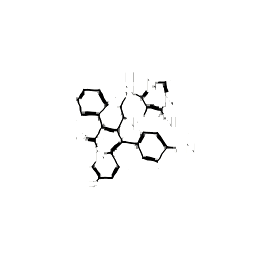 N#Cc1ccc(-c2c(CCNc3ncnc(N)c3C#N)c(-c3ccccc3)c(=O)n3cc(F)ccc23)cc1